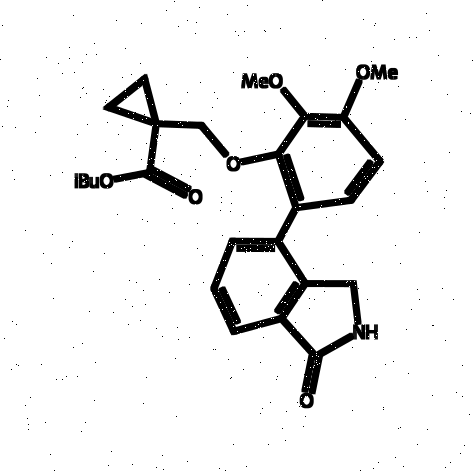 COc1ccc(-c2cccc3c2CNC3=O)c(OCC2(C(=O)OCC(C)C)CC2)c1OC